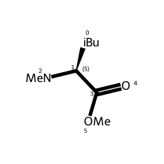 CCC(C)[C@H](NC)C(=O)OC